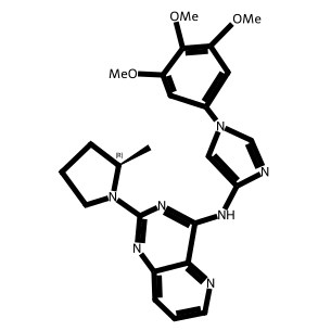 COc1cc(-n2cnc(Nc3nc(N4CCC[C@H]4C)nc4cccnc34)c2)cc(OC)c1OC